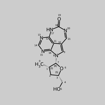 C[C@H]1C[C@@H](CO)O[C@H]1n1cc2c3c(ncnc31)NC(=O)N=C2